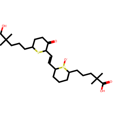 CC(C)(CO)CCCC1CCC(=O)C(C=CC2CCCC(CCCC(C)(C)C(=O)O)[S+]2[O-])S1